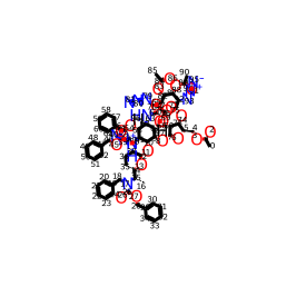 CC(=O)OC[C@H]1O[C@@H](O[C@H]2[C@H](O[C@H]3O[C@H]([C@H](C)N(Cc4ccccc4)C(=O)OCc4ccccc4)CC[C@H]3N=[N+]=[N-])[C@@H](NC(=O)OCc3ccccc3)[C@H](OCc3ccccc3)[C@H]3NC(=O)O[C@@H]32)[C@H](OC(C)=O)[C@@H]1O[C@H]1O[C@@H](CN=[N+]=[N-])[C@@H](OC(C)=O)[C@H](OC(C)=O)[C@H]1N=[N+]=[N-]